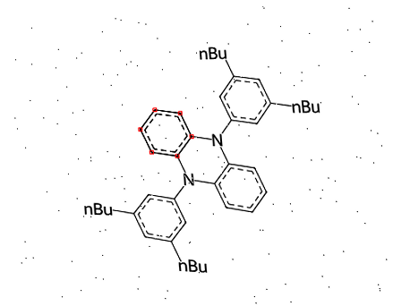 CCCCc1cc(CCCC)cc(N(c2ccccc2)c2ccccc2N(c2ccccc2)c2cc(CCCC)cc(CCCC)c2)c1